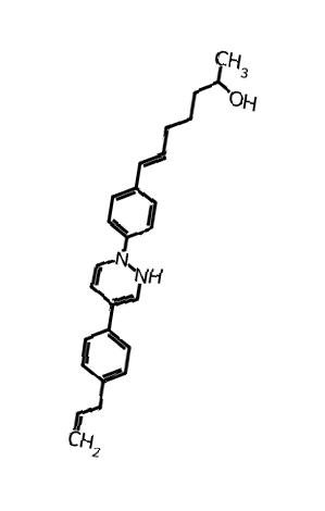 C=CCc1ccc(C2=CNN(c3ccc(C=CCCCC(C)O)cc3)C=C2)cc1